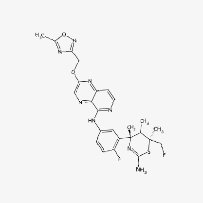 Cc1nc(COc2cnc3c(Nc4ccc(F)c([C@@]5(C)N=C(N)S[C@](C)(CF)C5C)c4)nccc3n2)no1